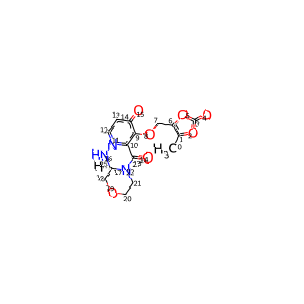 Cc1oc(=O)oc1COc1c2n(ccc1=O)N[C@@H]1COCCN1C2=O